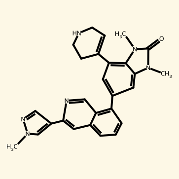 Cn1cc(-c2cc3cccc(-c4cc(C5=CCNCC5)c5c(c4)n(C)c(=O)n5C)c3cn2)cn1